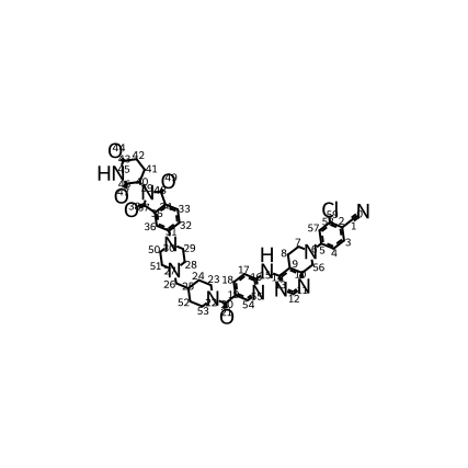 N#Cc1ccc(N2CCc3c(ncnc3Nc3ccc(C(=O)N4CCC(CN5CCN(c6ccc7c(c6)C(=O)N(C6CCC(=O)NC6=O)C7=O)CC5)CC4)cn3)C2)cc1Cl